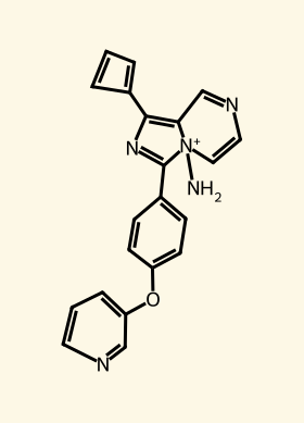 N[N+]12C=CN=CC1=C(C1=CC=C1)N=C2c1ccc(Oc2cccnc2)cc1